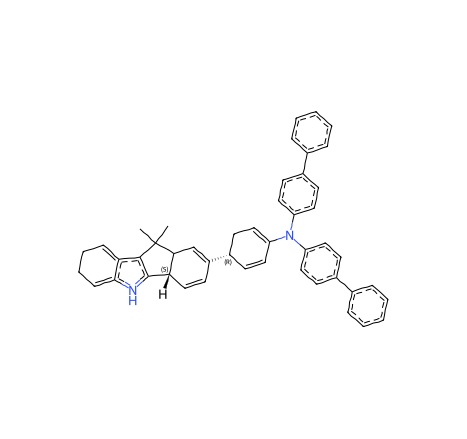 CC1(C)c2c([nH]c3c2=CCCC=3)[C@H]2C=CC([C@H]3C=CC(N(c4ccc(-c5ccccc5)cc4)c4ccc(-c5ccccc5)cc4)=CC3)=CC21